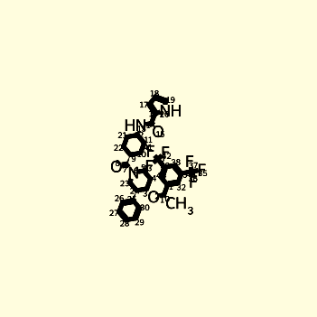 C[C@@H](O[C@H]1CCN(C(=O)[C@H]2CC[C@H](NC(=O)c3ccc[nH]3)CC2)C[C@H]1c1ccccc1)c1cc(C(F)(F)F)cc(C(F)(F)F)c1